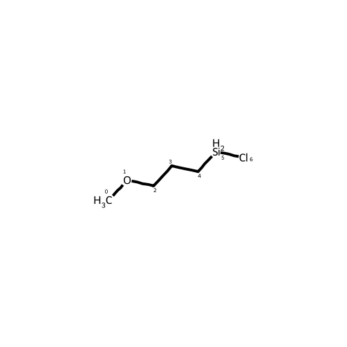 COCCC[SiH2]Cl